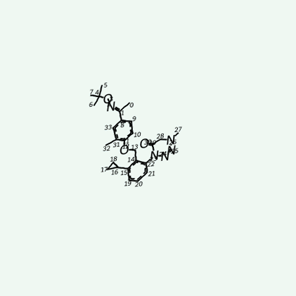 CC(=NOC(C)(C)C)c1ccc(OCc2c(C3CC3)cccc2N2N=NN(C)CC2=O)c(C)c1